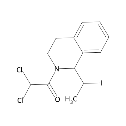 CC(I)C1c2ccccc2CCN1C(=O)C(Cl)Cl